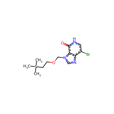 C[Si](C)(C)CCOCn1cnc2c(Br)c[nH]c(=O)c21